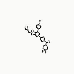 O=CNCc1cc2cc(-c3ccc(C(=O)N4CCC(F)(F)CC4)cc3)cc(-c3ccc(F)cc3)c2o1